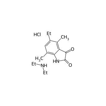 CCNCC.CCc1cc(C)c2c(c1C)C(=O)C(=O)N2.Cl